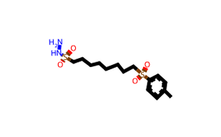 Cc1ccc(S(=O)(=O)CCCCCCCCS(=O)(=O)NN)cc1